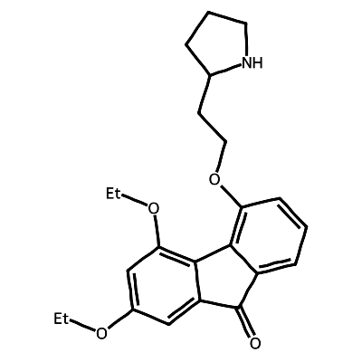 CCOc1cc(OCC)c2c(c1)C(=O)c1cccc(OCCC3CCCN3)c1-2